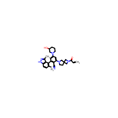 C=CC(=O)N1CC2(CCN(c3cc(N4CCCC(O)C4)cc(-c4c(C)ccc5[nH]nc(C)c45)c3C#N)C2)C1